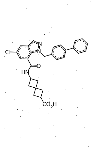 O=C(NC1CC2(C1)CC(C(=O)O)C2)c1cc(Cl)cc2cnn(Cc3ccc(-c4ccccc4)cc3)c12